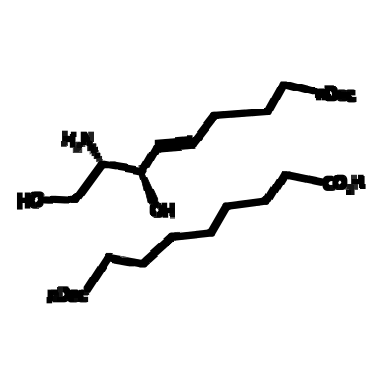 CCCCCCCCCCCCC/C=C/[C@@H](O)[C@@H](N)CO.CCCCCCCCCCCCCCCCCC(=O)O